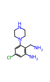 NCc1c(N)cc(Cl)cc1N1CCNCC1